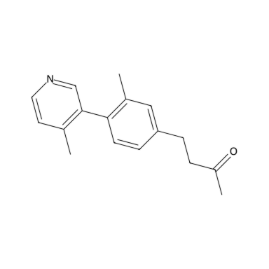 CC(=O)CCc1ccc(-c2cnccc2C)c(C)c1